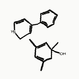 C1=CC(c2ccccc2)=CCN1.CC1=CC(C)(O)CC(C)=C1